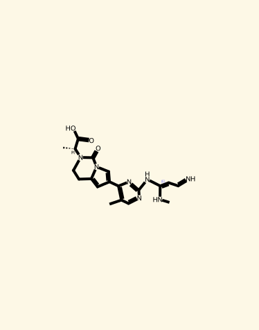 CN/C(=C\C=N)Nc1ncc(C)c(-c2cc3n(c2)C(=O)N([C@H](C)C(=O)O)CC3)n1